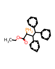 CCOC(=O)C(P)C(c1ccccc1)C(c1ccccc1)c1ccccc1